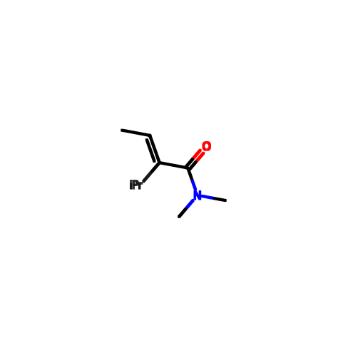 C/C=C(/C(=O)N(C)C)C(C)C